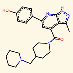 Cc1n[nH]c2nc(-c3ccc(O)cc3)cc(C(=O)N3CCC(CN4CCCCC4)CC3)c12